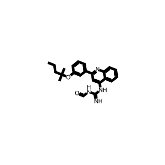 CCCC(C)(C)Oc1cccc(-c2cc(NC(=N)NC=O)c3ccccc3n2)c1